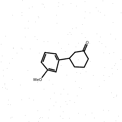 COc1cccc(C2CCCC(=O)C2)c1